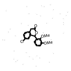 COc1cccc(C2OC(=O)Cc3ccc(Cl)cc32)c1OC